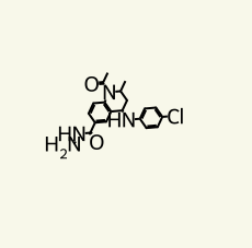 CC(=O)N1c2ccc(C(=O)NN)cc2C(Nc2ccc(Cl)cc2)CC1C